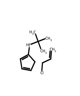 C=CCCl.C[C](C)(C)[Hf][C]1=CC=CC1